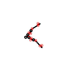 C=CC(=O)OCCCCCCOc1ccc(C(=O)Oc2ccc(C3(c4ccc(OC(=O)c5ccc(OCCCCCCOC(=O)C=C)cc5)cc4)CCCCC3)cc2)cc1